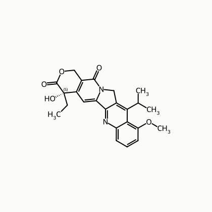 CC[C@@]1(O)C(=O)OCc2c1cc1n(c2=O)Cc2c-1nc1cccc(OC)c1c2C(C)C